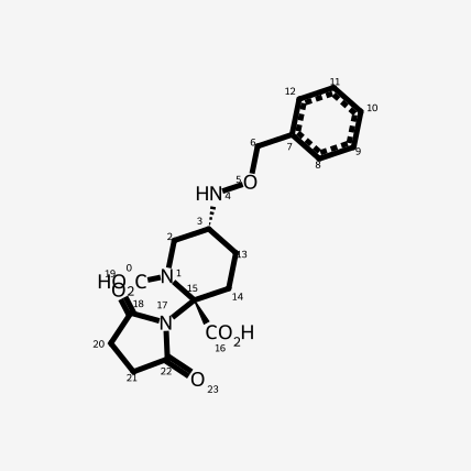 O=C(O)N1C[C@H](NOCc2ccccc2)CC[C@]1(C(=O)O)N1C(=O)CCC1=O